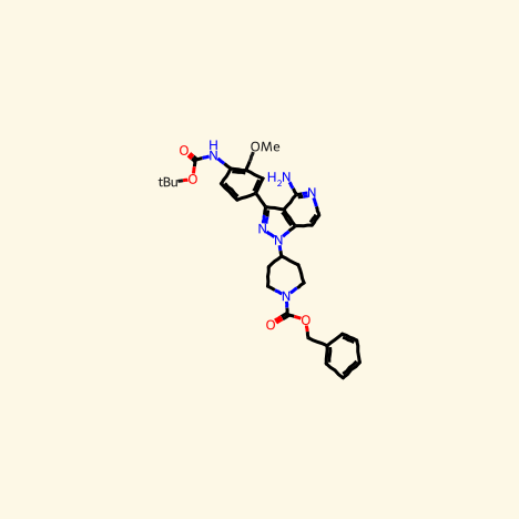 COc1cc(-c2nn(C3CCN(C(=O)OCc4ccccc4)CC3)c3ccnc(N)c23)ccc1NC(=O)OC(C)(C)C